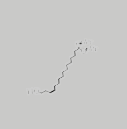 CCCOC(CCCCCCCCCCC/C=C\CCO)OCCC